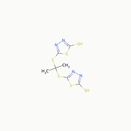 CC(C)(Sc1nnc(S)s1)Sc1nnc(S)s1